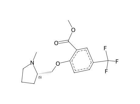 COC(=O)c1cc(C(F)(F)F)ccc1OC[C@@H]1CCCN1C